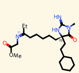 CC/C(CCCCC[C@@]1(CCC2CCCCC2)NC(=N)N(C)C1=O)=N/CC(=O)OC